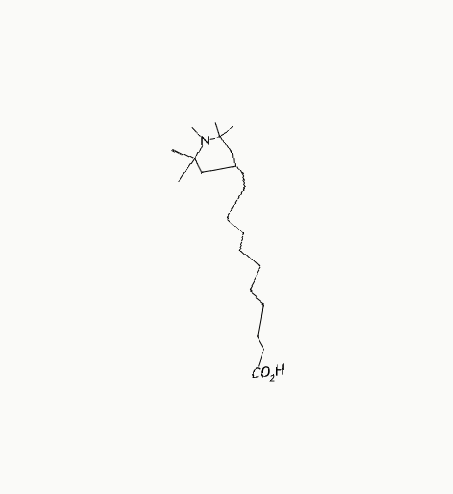 CN1C(C)(C)CC(CCCCCCCCCC(=O)O)CC1(C)C